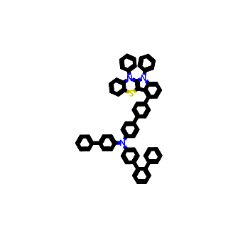 c1ccc(-c2ccc(N(c3ccc(-c4ccc(-c5cccc6c5c5c(n6-c6ccccc6)N(c6ccccc6)c6ccccc6S5)cc4)cc3)c3ccc(-c4ccccc4-c4ccccc4)cc3)cc2)cc1